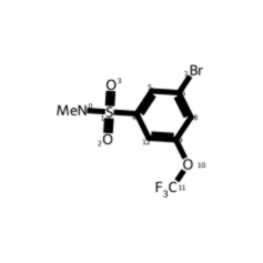 CNS(=O)(=O)c1cc(Br)cc(OC(F)(F)F)c1